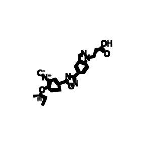 [C-]#[N+]c1cc(-c2nc(-c3ccc4c(cnn4CCC(=O)O)c3)no2)ccc1O[C@H](C)CC